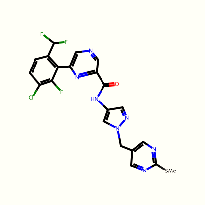 CSc1ncc(Cn2cc(NC(=O)c3cncc(-c4c(C(F)F)ccc(Cl)c4F)n3)cn2)cn1